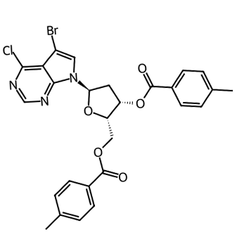 Cc1ccc(C(=O)OC[C@@H]2O[C@@H](n3cc(Br)c4c(Cl)ncnc43)C[C@@H]2OC(=O)c2ccc(C)cc2)cc1